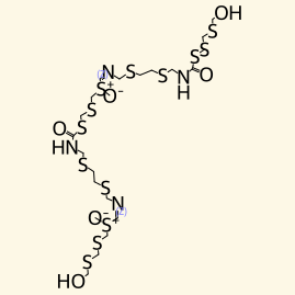 O=C(NCSCCSC/N=C\[S+]([O-])CSCSCO)SCSC[S+]([O-])/C=N\CSCCSCNC(=O)SSCSCO